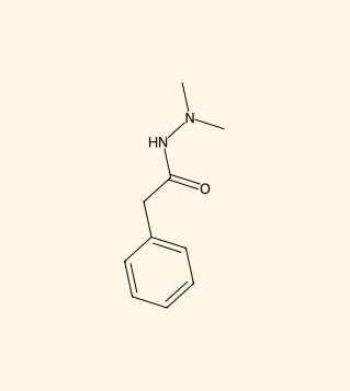 CN(C)NC(=O)Cc1ccccc1